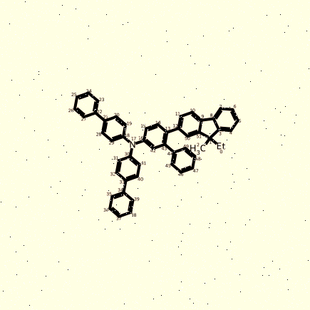 CCC1(C)c2ccccc2-c2ccc(-c3ccc(N(c4ccc(-c5ccccc5)cc4)c4ccc(-c5ccccc5)cc4)cc3-c3ccccc3)cc21